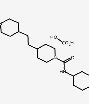 O=C(NC1CCCCC1)N1CCC(CCC2CCNCC2)CC1.O=C(O)O